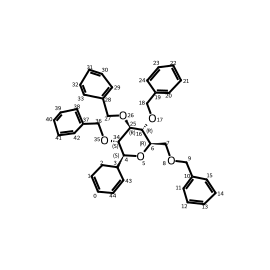 C1=CCC([C@@H]2O[C@H](COCc3ccccc3)[C@@H](OCc3ccccc3)[C@H](OCc3ccccc3)[C@H]2OCc2ccccc2)C=C1